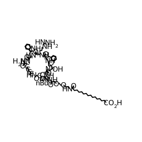 CCCC[C@H](NC(=O)COCCOCCNC(=O)CCCCCCCCCCCCCCC(=O)O)C(=O)N[C@H]1CCC(OC)NCCCCC(C(N)=O)NC(=O)[C@H](Cc2c[nH]c3ccccc23)NC(=O)[C@H](CCCNC(=N)N)NC(=O)[C@@H](Cc2ccccc2)NC(=O)C2C[C@@H](O)CN2C1=O